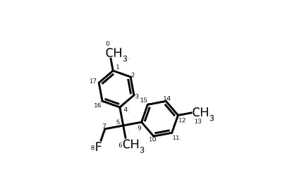 Cc1ccc(C(C)(CF)c2ccc(C)cc2)cc1